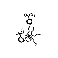 CCC[CH2][Sn]1([CH2]CCC)[CH2]CC[O][Sn]1([CH2]CCC)[CH2]CCC.O=C(O)c1ccccc1.O=C(O)c1ccccc1